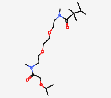 CC(C)OCC(=O)N(C)CCOCCOCCN(C)C(=O)C(C)(C)C(C)C